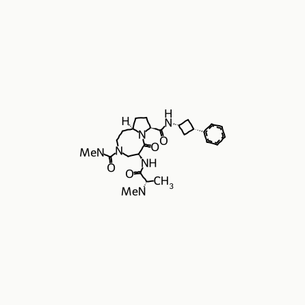 CNC(=O)N1CC[C@H]2CC[C@@H](C(=O)N[C@H]3C[C@@H](c4ccccc4)C3)N2C(=O)[C@@H](NC(=O)[C@H](C)NC)C1